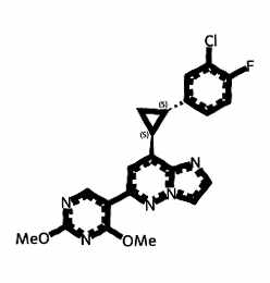 COc1ncc(-c2cc([C@H]3C[C@@H]3c3ccc(F)c(Cl)c3)c3nccn3n2)c(OC)n1